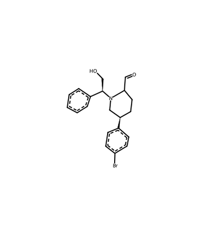 O=CC1CC[C@@H](c2ccc(Br)cc2)CN1[C@H](CO)c1ccccc1